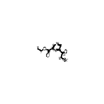 CCOC(=O)c1cncc(C(=O)CBr)n1